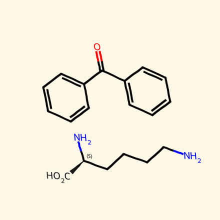 NCCCC[C@H](N)C(=O)O.O=C(c1ccccc1)c1ccccc1